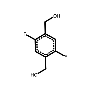 OCc1cc(F)c(CO)cc1F